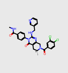 CNC(=O)c1ccc(-n2c(NCc3cccnc3)nc3c(c2=O)C[C@@H](C)N(C(=O)c2ccc(Cl)c(Cl)c2)C3)cc1